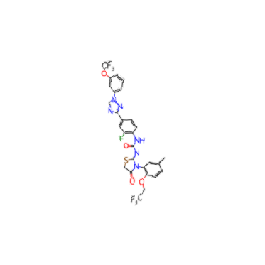 Cc1ccc(OCC(F)(F)F)c(N2C(=O)CSC2=NC(=O)Nc2ccc(-c3ncn(-c4cccc(OC(F)(F)F)c4)n3)cc2F)c1